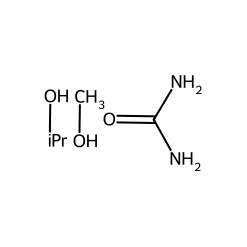 CC(C)O.CO.NC(N)=O